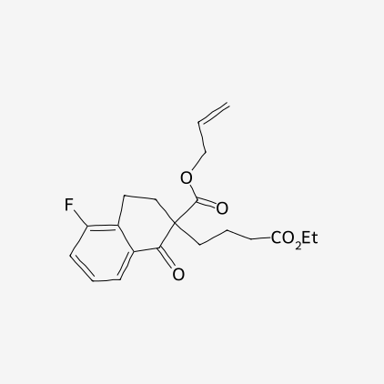 C=CCOC(=O)C1(CCCC(=O)OCC)CCc2c(F)cccc2C1=O